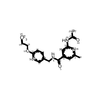 Cc1cc(C(=O)NCc2ccc(OCCC(F)(F)F)nc2)cc(NC(=O)C(C)C)n1